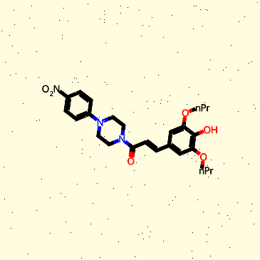 CCCOc1cc(C=CC(=O)N2CCN(c3ccc([N+](=O)[O-])cc3)CC2)cc(OCCC)c1O